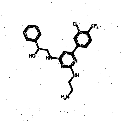 NCCNc1nc(NCC(O)c2ccccc2)cc(-c2ccc(C(F)(F)F)c(Cl)c2)n1